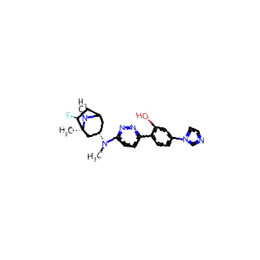 CN(c1ccc(-c2ccc(-n3ccnc3)cc2O)nn1)[C@H]1CC2C[C@H](F)[C@](C)(C1)N2C